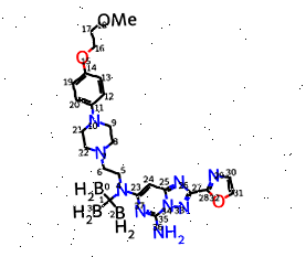 BC(B)(B)N(CCN1CCN(c2ccc(OCCOC)cc2)CC1)c1cc2nc(-c3ncco3)nn2c(N)n1